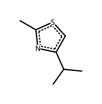 Cc1nc(C(C)C)cs1